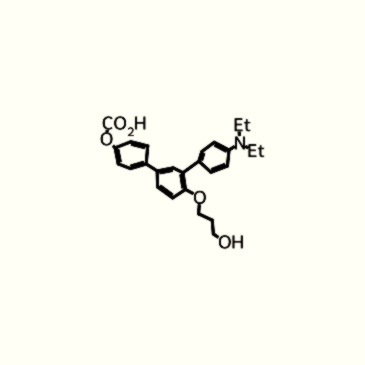 CCN(CC)c1ccc(-c2cc(-c3ccc(OC(=O)O)cc3)ccc2OCCCO)cc1